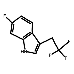 Fc1ccc2c(CC(F)(F)F)c[nH]c2c1